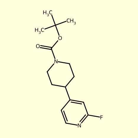 CC(C)(C)OC(=O)N1CCC(c2ccnc(F)c2)CC1